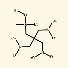 CCCN(CC)CC(CN(CC)CCC)(CN(CC)CCC)C[Si](C)(CC)OCC